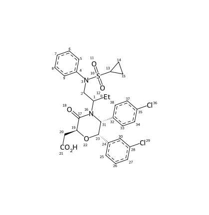 CCC(CN(c1ccccc1)S(=O)(=O)C1CC1)N1C(=O)[C@H](CC(=O)O)O[C@@H](c2cccc(Cl)c2)[C@H]1c1ccc(Cl)cc1